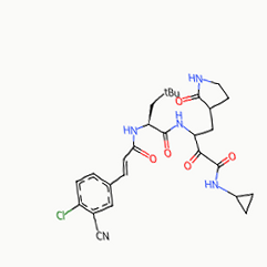 CC(C)(C)C[C@H](NC(=O)/C=C/c1ccc(Cl)c(C#N)c1)C(=O)NC(CC1CCNC1=O)C(=O)C(=O)NC1CC1